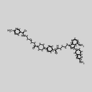 Cc1ncc(C(=O)NCCOCCC(=O)N2CCN(c3ncc(C(=O)NCCCCn4nc(-c5ccc6oc(N)nc6c5)c5c(N)ncnc54)cn3)CC2)cn1